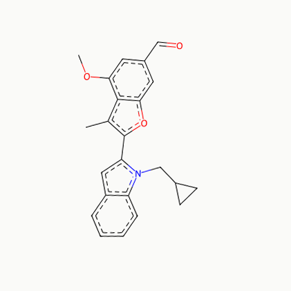 COc1cc(C=O)cc2oc(-c3cc4ccccc4n3CC3CC3)c(C)c12